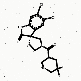 O=C(C1CNCC(F)(F)C1)N1CC[C@]2(C1)C(=O)Nc1cc(Cl)c(Cl)cc12